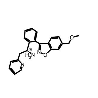 COCc1ccc2c(-c3ccccc3[C@@H](N)Cc3ccccn3)noc2c1